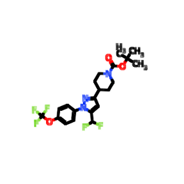 CC(C)(C)OC(=O)N1CCC(c2cc(C(F)F)n(-c3ccc(OC(F)(F)F)cc3)n2)CC1